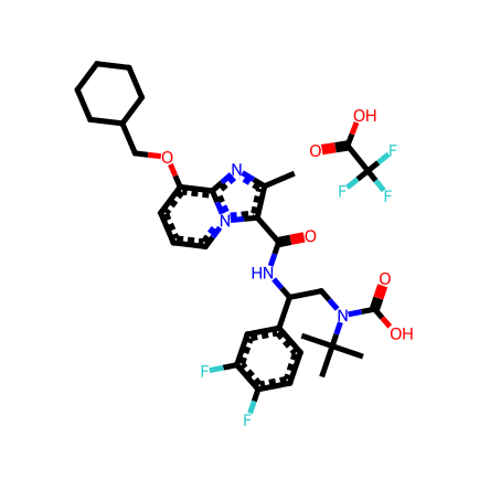 Cc1nc2c(OCC3CCCCC3)cccn2c1C(=O)NC(CN(C(=O)O)C(C)(C)C)c1ccc(F)c(F)c1.O=C(O)C(F)(F)F